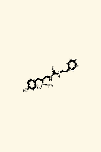 CN(C)C(CNC(=O)NCCc1ccccc1)Cc1ccc(O)cc1